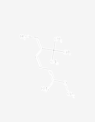 C\C=C(/C=C\C=C(/N)OC)C(C)(C)C